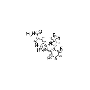 NC(=O)c1cnc2[nH]nc(N3CC(F)(F)CC3c3cc(F)ccc3F)c2c1